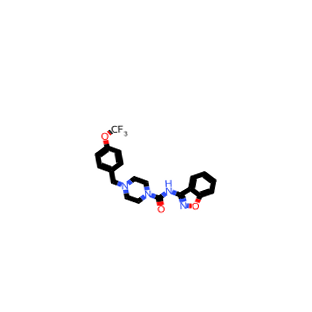 O=C(Nc1noc2ccccc12)N1CCN(Cc2ccc(OC(F)(F)F)cc2)CC1